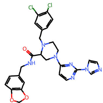 O=C(NCc1ccc2c(c1)OCO2)C1CN(c2ccnc(-n3ccnc3)n2)CCN1Cc1ccc(Cl)c(Cl)c1